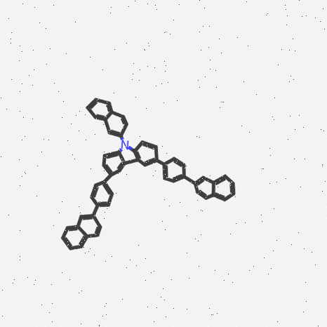 c1ccc2cc(-c3ccc(-c4ccc5c(c4)c4cc(-c6ccc(-c7ccc8ccccc8c7)cc6)ccc4n5-c4ccc5ccccc5c4)cc3)ccc2c1